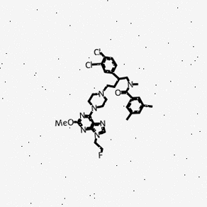 COc1nc(N2CCN(CCC(CN(C)C(=O)c3cc(C)cc(C)c3)c3ccc(Cl)c(Cl)c3)CC2)c2ncn(CCF)c2n1